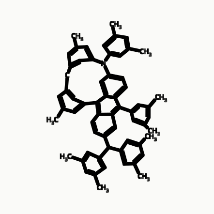 Cc1cc(C)cc(-c2c3ccc4cc3c(c3ccc(C(c5cc(C)cc(C)c5)c5cc(C)cc(C)c5)cc23)-c2cc(C)cc(c2)Cc2cc(C)cc(c2)N4c2cc(C)cc(C)c2)c1